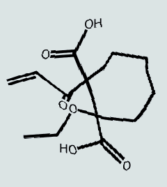 C=CC(=O)C1(C(=O)O)CCCCC1(OCC)C(=O)O